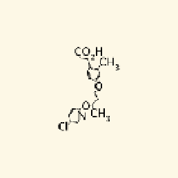 Cc1cc(OCCC(C)Oc2ccc(Cl)cn2)ccc1CCC(=O)O